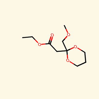 CCOC(=O)CC1(COC)OCCCO1